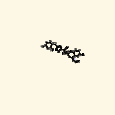 CCC/C=C(/CCNC(=O)c1noc(Cc2ccc(I)cc2F)n1)c1cc(Cl)ccc1C